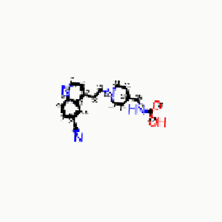 N#Cc1ccc2nccc(CCN3CCC(CNC(=O)O)CC3)c2c1